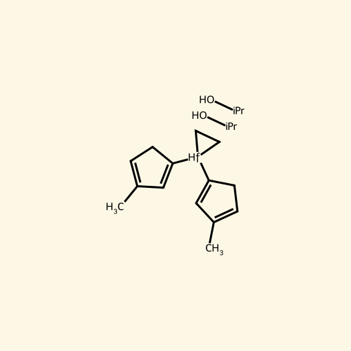 CC(C)O.CC(C)O.CC1=CC[C]([Hf]2([C]3=CC(C)=CC3)[CH2][CH2]2)=C1